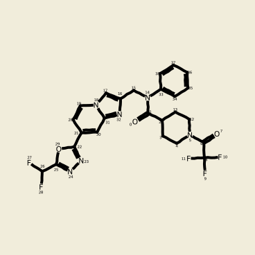 O=C(C1CCN(C(=O)C(F)(F)F)CC1)N(Cc1cn2ccc(-c3nnc(C(F)F)o3)cc2n1)c1ccccc1